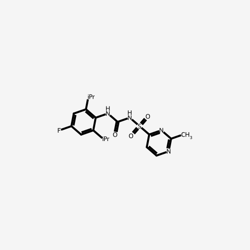 Cc1nccc(S(=O)(=O)NC(=O)Nc2c(C(C)C)cc(F)cc2C(C)C)n1